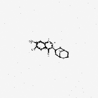 CN1C2CCCC1CC(n1nnc3cc([N+](=O)[O-])c(Cl)cc3c1=O)C2